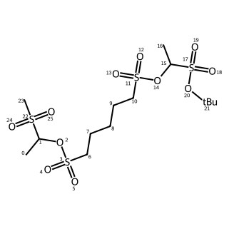 CC(OS(=O)(=O)CCCCCS(=O)(=O)OC(C)S(=O)(=O)OC(C)(C)C)S(C)(=O)=O